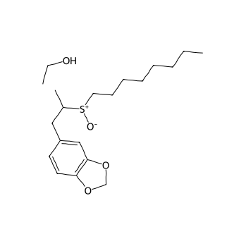 CCCCCCCC[S+]([O-])C(C)Cc1ccc2c(c1)OCO2.CCO